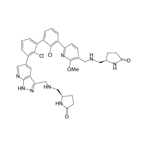 COc1nc(-c2cccc(-c3cccc(-c4cnc5[nH]nc(CNC[C@H]6CCC(=O)N6)c5c4)c3Cl)c2Cl)ccc1CNC[C@H]1CCC(=O)N1